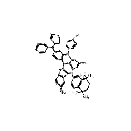 CCCCc1ccc(N2c3cc(N(c4ccccc4)c4ccccc4)ccc3B3c4sc5ccc(CCCC)cc5c4N(c4ccc5c(c4)C(C)(C)CCC5(C)C)c4cc(CCCC)nc2c43)cc1